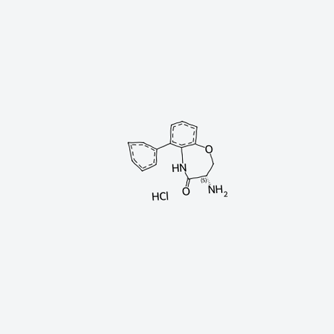 Cl.N[C@H]1COc2cccc(-c3ccccc3)c2NC1=O